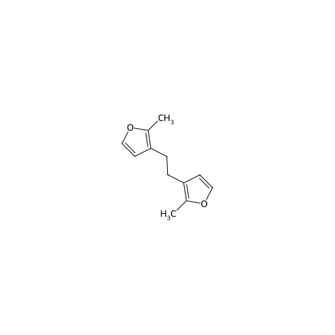 Cc1occc1CCc1ccoc1C